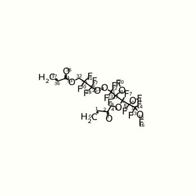 C=CC(=O)COC(F)(C(F)(OF)C(F)(F)OF)C(F)(OF)C(F)(F)OOC(F)(F)C(F)(F)COC(=O)C=C